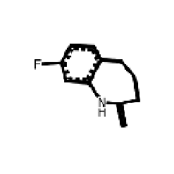 C=C1CCCc2ccc(F)cc2N1